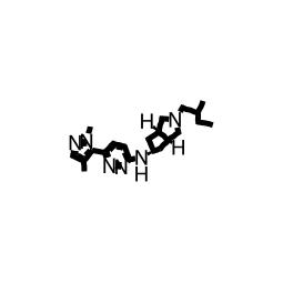 CCC(C)CN1C[C@H]2C[C@H](Nc3ccc(-c4c(C)cnn4C)nn3)C[C@H]2C1